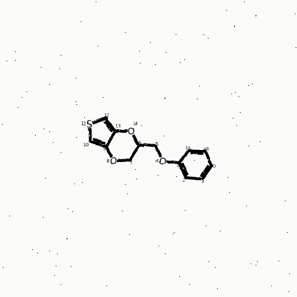 c1ccc(OCC2COc3cscc3O2)cc1